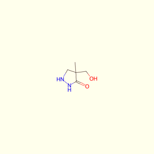 CC1(CO)CNNC1=O